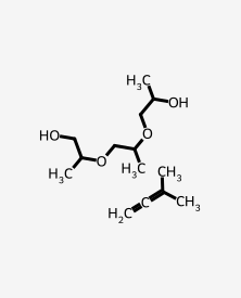 C=C=C(C)C.CC(O)COC(C)COC(C)CO